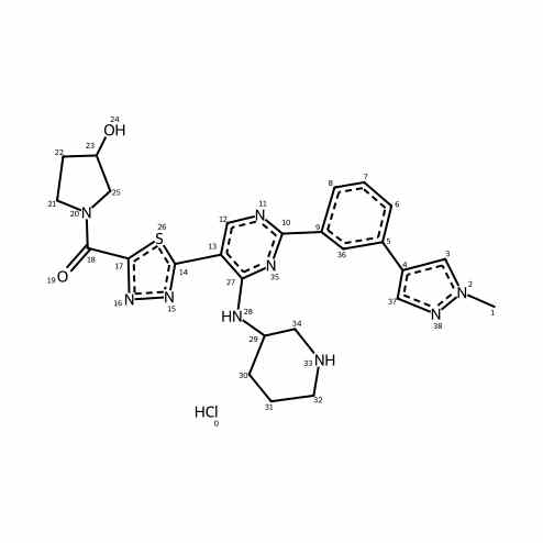 Cl.Cn1cc(-c2cccc(-c3ncc(-c4nnc(C(=O)N5CCC(O)C5)s4)c(NC4CCCNC4)n3)c2)cn1